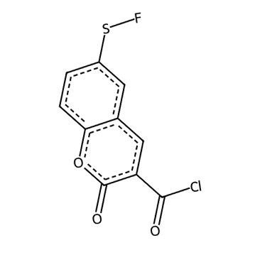 O=C(Cl)c1cc2cc(SF)ccc2oc1=O